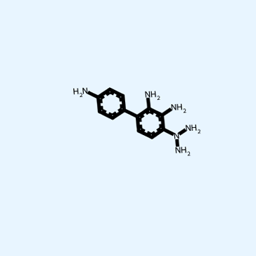 Nc1ccc(-c2ccc(N(N)N)c(N)c2N)cc1